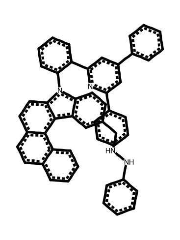 c1ccc(NNCc2ccc3c(c2)c2c4c(ccc5ccccc54)ccc2n3-c2ccccc2-c2cc(-c3ccccc3)cc(-c3ccccc3)n2)cc1